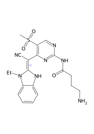 CCN1/C(=C(\C#N)c2nc(NC(=O)CCCN)ncc2S(C)(=O)=O)Nc2ccccc21